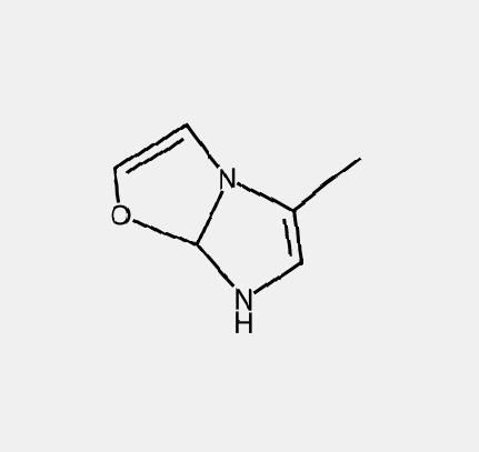 CC1=CNC2OC=CN12